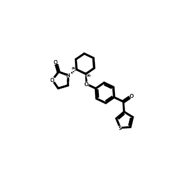 O=C(c1ccc(O[C@@H]2CCCC[C@H]2N2CCOC2=O)cc1)c1ccsc1